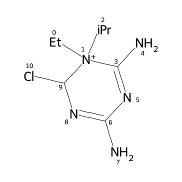 CC[N+]1(C(C)C)C(N)=NC(N)=NC1Cl